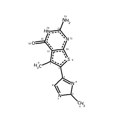 Cc1c(C2=NC(C)N=C2)sc2nc(N)[nH]c(=O)c12